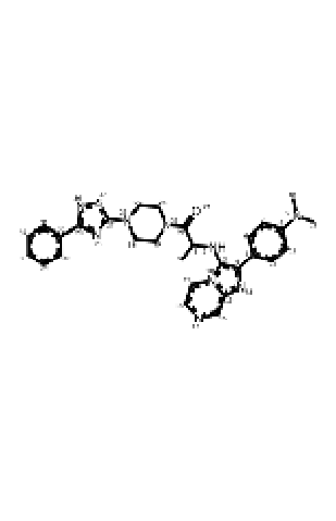 CC(Nc1c(-c2ccc(N(C)C)cc2)nc2cnccn12)C(=O)N1CCN(c2nc(-c3ccccc3)ns2)CC1